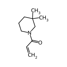 C=CC(=O)N1CCCC(C)(C)C1